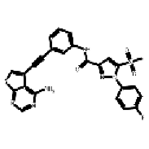 CS(=O)(=O)c1cc(C(=O)Nc2cccc(C#Cc3csc4ncnc(N)c34)c2)nn1-c1ccc(F)cc1